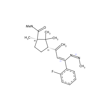 C=C(/C=C(\N=N/C)c1ccccc1F)[C@@H]1CC[C@@](C)(C(=O)NC)C1(C)C